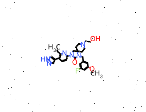 CCc1nc(N2CC3(CCN(CCO)CC3)N(Cc3cc(F)cc(OC)c3)C2=O)ccc1-c1cn[nH]c1